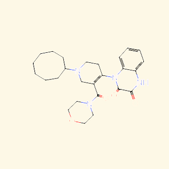 O=C(C1=C(n2c(=O)c(=O)[nH]c3ccccc32)CCN(C2CCCCCCC2)C1)N1CCOCC1